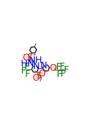 CCS(=O)(=O)c1cc(C(F)(F)F)c(NN[S+]([O-])c2ccc(C)cc2)nc1-c1ccc(OCC(F)(F)C(F)(F)F)cn1